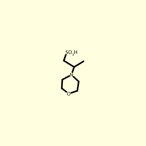 CC(CS(=O)(=O)O)N1CCOCC1